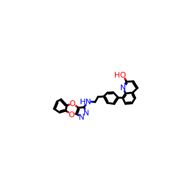 Oc1ccc2cccc(-c3ccc(CCNC4N=NC5=C4Oc4ccccc4O5)cc3)c2n1